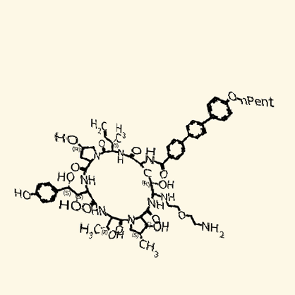 C=C[C@H](C)C1NC(=O)C(NC(=O)c2ccc(-c3ccc(-c4ccc(OCCCCC)cc4)cc3)cc2)C[C@@H](O)C(NCCOCCN)NC(=O)C2[C@@H](O)[C@@H](C)CN2C(=O)C([C@@H](C)O)NC(=O)C([C@H](O)[C@@H](O)c2ccc(O)cc2)NC(=O)C2C[C@@H](O)CN2C1=O